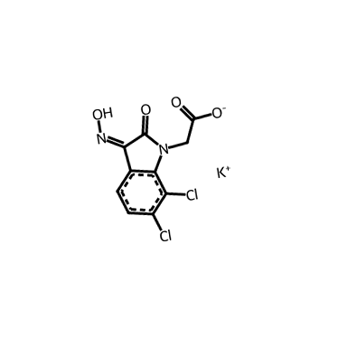 O=C([O-])CN1C(=O)C(=NO)c2ccc(Cl)c(Cl)c21.[K+]